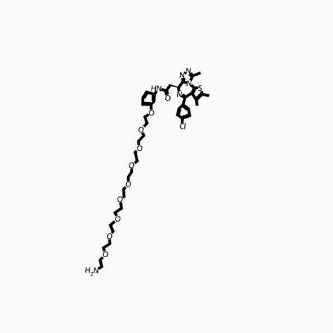 Cc1sc2c(c1C)C(c1ccc(Cl)cc1)=N[C@@H](CC(=O)Nc1cccc(OCCOCCOCCOCCOCCOCCOCCOCCOCCN)c1)c1nnc(C)n1-2